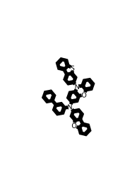 c1ccc(-c2cccc(N(c3ccc4c(c3)Oc3ccccc3N4c3ccc4c(c3)sc3ccccc34)c3ccc4c(c3)oc3ccccc34)c2)cc1